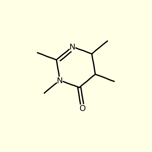 CC1=NC(C)C(C)C(=O)N1C